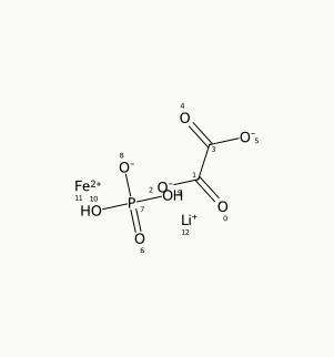 O=C([O-])C(=O)[O-].O=P([O-])(O)O.[Fe+2].[Li+]